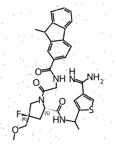 COC[C@@]1(F)C[C@@H](C(=O)NC(C)c2cc(C(=N)N)cs2)N(C(=O)CNC(=O)c2ccc3c(c2)C(C)c2ccccc2-3)C1